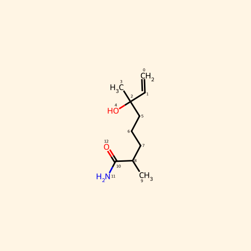 C=CC(C)(O)CCCC(C)C(N)=O